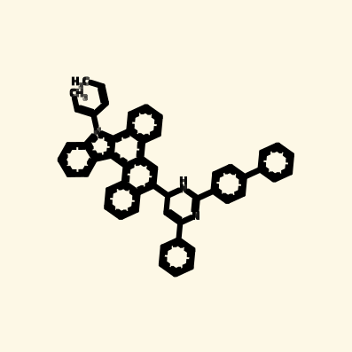 C/C=C\C(=C/C)n1c2ccccc2c2c3c4ccccc4c(C4C=C(c5ccccc5)N=C(c5ccc(-c6ccccc6)cc5)N4)cc3c3ccccc3c21